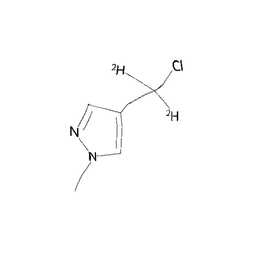 [2H]C([2H])(Cl)c1cnn(C)c1